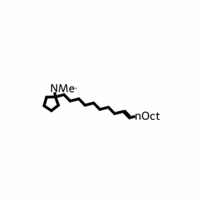 CCCCCCCC/C=C/CCCCCCCCC1([N]C)CCCC1